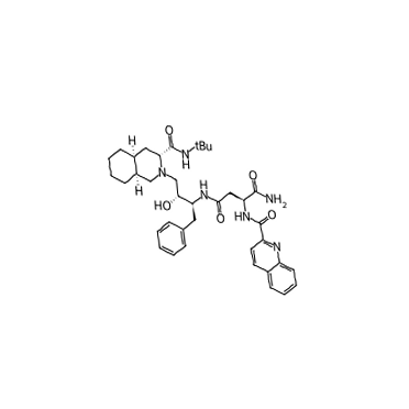 CC(C)(C)NC(=O)[C@H]1C[C@@H]2CCCC[C@@H]2CN1C[C@@H](O)[C@H](Cc1ccccc1)NC(=O)C[C@H](NC(=O)c1ccc2ccccc2n1)C(N)=O